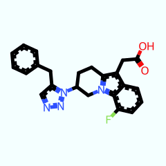 O=C(O)Cc1c2n(c3c(F)cccc13)CC(n1nncc1Cc1ccccc1)CC2